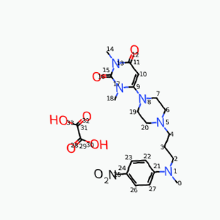 CN(CCCN1CCN(c2cc(=O)n(C)c(=O)n2C)CC1)c1ccc([N+](=O)[O-])cc1.O=C(O)C(=O)O